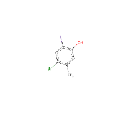 Oc1cc(C(F)(F)F)c(Br)cc1I